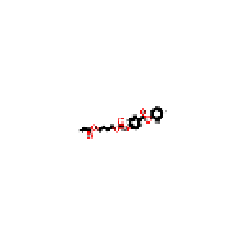 C=CC(=O)OCCCCOC(=O)Oc1ccc(C(=O)OC2CCCCC2)cc1